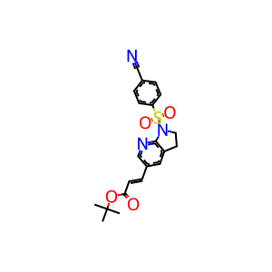 CC(C)(C)OC(=O)C=Cc1cnc2c(c1)CCN2S(=O)(=O)c1ccc(C#N)cc1